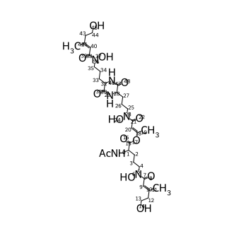 CC(=O)NC(CCCN(O)C(=O)/C=C(\C)CCO)C(=O)O/C(C)=C/C(=O)N(O)CCCC1NC(=O)C(CCCN(O)C(=O)/C=C(\C)CCO)NC1=O